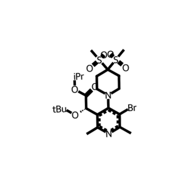 Cc1nc(C)c([C@H](OC(C)(C)C)C(=O)OC(C)C)c(N2CCC(S(C)(=O)=O)(S(C)(=O)=O)CC2)c1Br